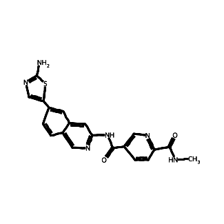 CNC(=O)c1ccc(C(=O)Nc2cc3cc(-c4cnc(N)s4)ccc3cn2)cn1